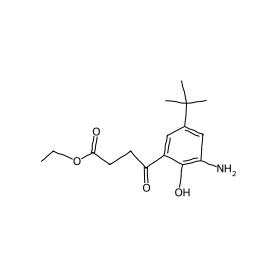 CCOC(=O)CCC(=O)c1cc(C(C)(C)C)cc(N)c1O